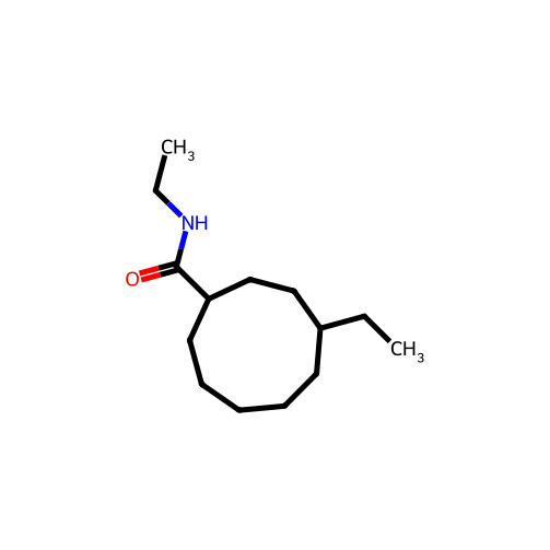 CCNC(=O)C1CCCCCC(CC)CC1